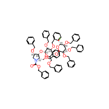 O=C(OCc1ccccc1)N1C[C@H](OCc2ccccc2)[C@H](O[C@H]2O[C@H](COCc3ccccc3)[C@@H](O[C@@H]3O[C@H](CF)[C@@H](OCc4ccccc4)[C@H](OCc4ccccc4)[C@H]3OCc3ccccc3)[C@H](OCc3ccccc3)[C@H]2OCc2ccccc2)[C@@H]1COCc1ccccc1